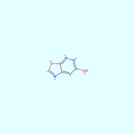 Oc1cc2ncoc2nn1